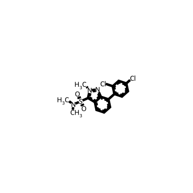 CN(C)S(=O)(=O)c1c2cccc(-c3ccc(Cl)cc3Cl)c2nn1C